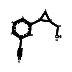 N#Cc1cccc(C2CC2CO)c1